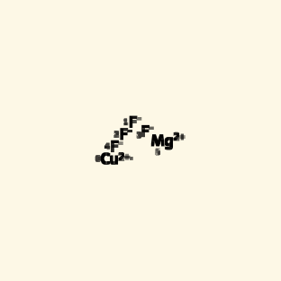 [Cu+2].[F-].[F-].[F-].[F-].[Mg+2]